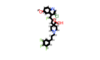 COc1ccc2ncc(Cl)c([C@H](F)CCC3(C(=O)O)CCN(CCCc4cc(F)c(F)c(F)c4)CC3)c2c1